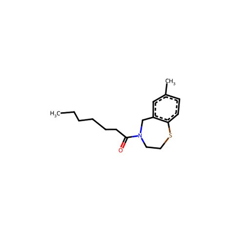 CCCCCCC(=O)N1CCSc2ccc(C)cc2C1